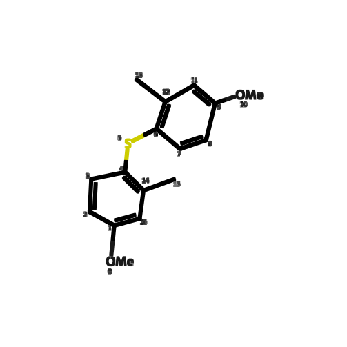 COc1ccc(Sc2ccc(OC)cc2C)c(C)c1